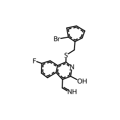 N=Cc1c(O)nc(SCc2ccccc2Br)c2cc(F)ccc12